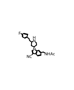 CC(=O)NCc1ccc2c(C#N)cn(C3CCNC(CCc4ccc(F)cc4)C3)c2c1